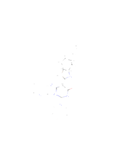 O=c1[nH]c(N2CCOCC2)nc(N[C@@H]2CCCNC2)c1-c1nc2cc(C3CC3)ccc2s1